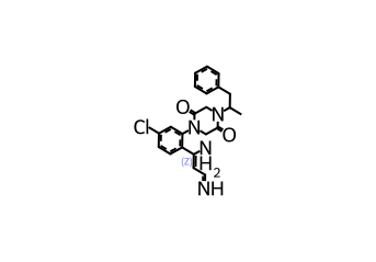 CC(Cc1ccccc1)N1CC(=O)N(c2cc(Cl)ccc2/C(N)=C/C=N)CC1=O